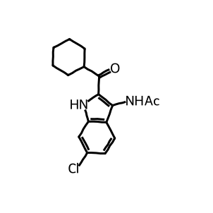 CC(=O)Nc1c(C(=O)C2CCCCC2)[nH]c2cc(Cl)ccc12